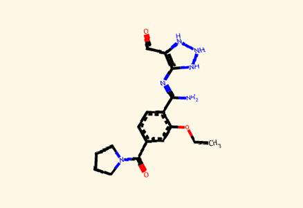 CCOc1cc(C(=O)N2CCCC2)ccc1/C(N)=N/C1=C(C=O)NNN1